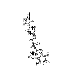 Cc1cc(F)c(C2CC=NN2C(=O)C23CC(COc4cnc(-c5cn[nH]c5)cn4)(C2)C3)cc1F